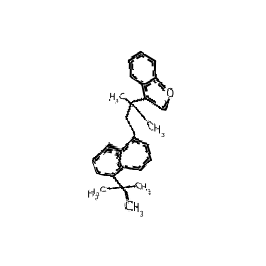 CC(C)(C)c1cccc2c(CC(C)(C)c3coc4ccccc34)cccc12